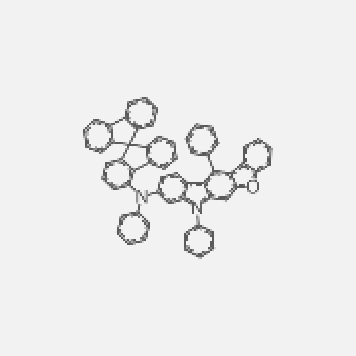 c1ccc(-c2c3c(cc4c2c2ccc(N(c5ccccc5)c5cccc6c5-c5ccccc5C65c6ccccc6-c6ccccc65)cc2n4-c2ccccc2)oc2ccccc23)cc1